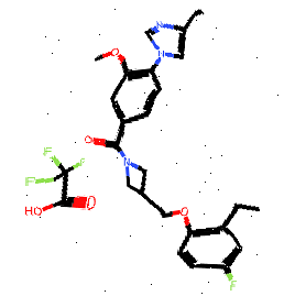 CCc1cc(F)ccc1OCC1CN(C(=O)c2ccc(-n3cnc(C)c3)c(OC)c2)C1.O=C(O)C(F)(F)F